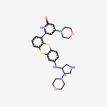 O=c1cc(N2CCOCC2)cc(-c2cccc3c2Sc2ccc(NC4CNC[C@H]4N4CCOCC4)cc2S3)[nH]1